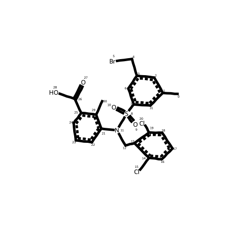 Cc1cc(CBr)cc(S(=O)(=O)N(Cc2c(Cl)cccc2Cl)c2cccc(C(=O)O)c2C)c1